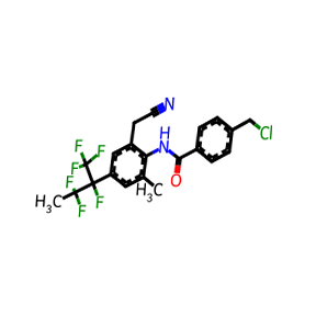 Cc1cc(C(F)(C(C)(F)F)C(F)(F)F)cc(CC#N)c1NC(=O)c1ccc(CCl)cc1